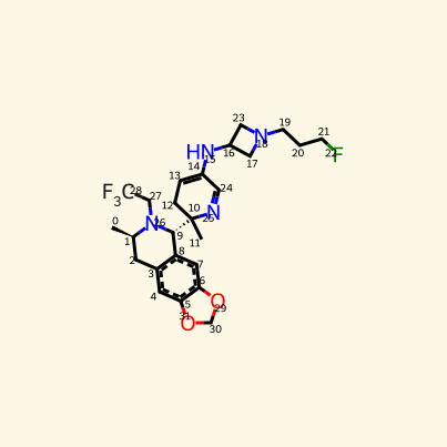 C[C@@H]1Cc2cc3c(cc2[C@@H](C2(C)CC=C(NC4CN(CCCF)C4)C=N2)N1CC(F)(F)F)OCO3